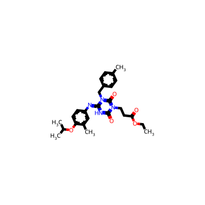 CCOC(=O)CCn1c(=O)[nH]/c(=N\c2ccc(OC(C)C)c(C)c2)n(Cc2ccc(C)cc2)c1=O